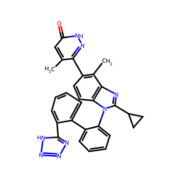 Cc1cc(=O)[nH]nc1-c1ccc2c(nc(C3CC3)n2-c2ccccc2-c2ccccc2-c2nnn[nH]2)c1C